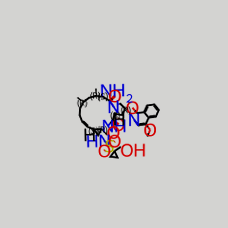 COc1cnc(O[C@@H]2C[C@H]3C(=O)N[C@]4(C(=O)NS(=O)(=O)C5(CO)CC5)C[C@H]4C=CCC[C@@H](C)C[C@@H](C)[C@H](N)C(=O)N3C2)c2ccccc12